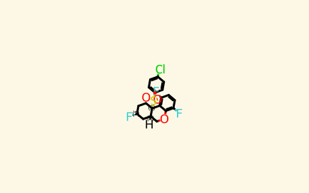 O=S(=O)(c1ccc(Cl)cc1)[C@@]12CC[C@H](F)C[C@@H]1COc1c(F)ccc(F)c12